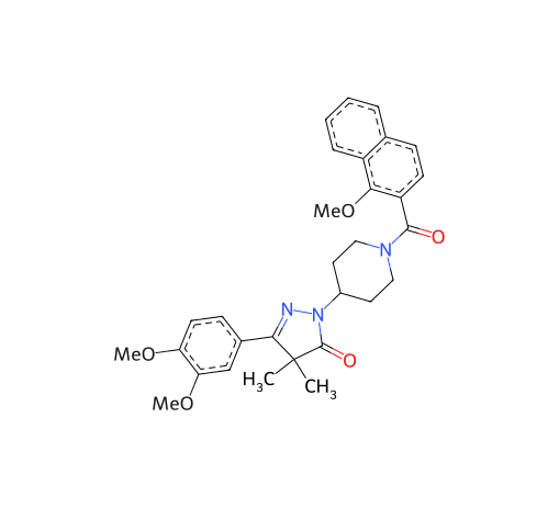 COc1ccc(C2=NN(C3CCN(C(=O)c4ccc5ccccc5c4OC)CC3)C(=O)C2(C)C)cc1OC